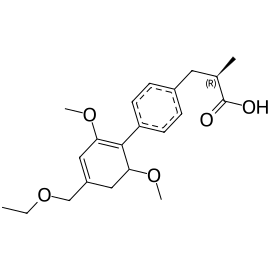 CCOCC1=CC(OC)=C(c2ccc(C[C@@H](C)C(=O)O)cc2)C(OC)C1